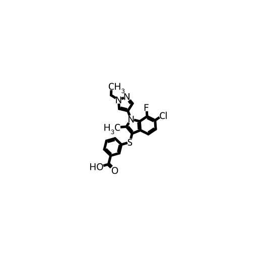 CCn1cc(-n2c(C)c(Sc3cccc(C(=O)O)c3)c3ccc(Cl)c(F)c32)cn1